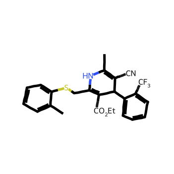 CCOC(=O)C1=C(CSc2ccccc2C)NC(C)=C(C#N)C1c1ccccc1C(F)(F)F